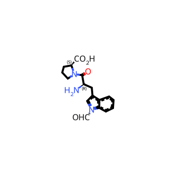 N[C@H](Cc1cn(C=O)c2ccccc12)C(=O)N1CCC[C@H]1C(=O)O